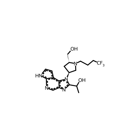 CC(O)c1nc2cnc3[nH]ccc3c2n1[C@H]1C[C@H](CO)N(CCCC(F)(F)F)C1